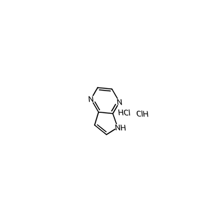 Cl.Cl.c1cnc2[nH]ccc2n1